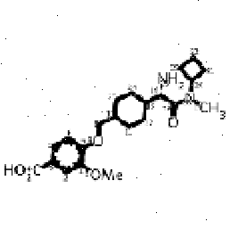 COc1cc(C(=O)O)ccc1OCC1CCC([C@H](N)C(=O)N(C)C2CCC2)CC1